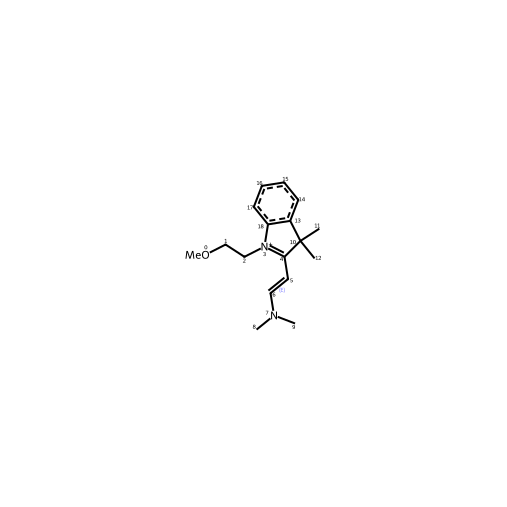 COCC[N+]1=C(/C=C/N(C)C)C(C)(C)c2ccccc21